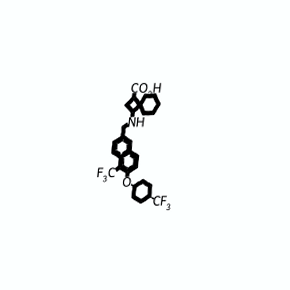 O=C(O)C1CC(NCc2ccc3c(C(F)(F)F)c(O[C@H]4CC[C@@H](C(F)(F)F)CC4)ccc3c2)C12CCCCC2